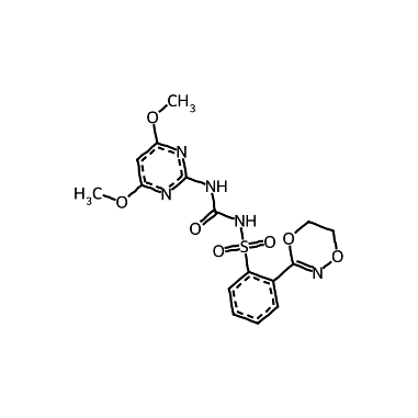 COc1cc(OC)nc(NC(=O)NS(=O)(=O)c2ccccc2C2=NOCCO2)n1